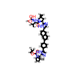 COC(O)N[C@H](C(=O)N1CC2(CC2)C[C@H]1c1ncc(-c2ccc3cc(-c4ccc(-c5cnc([C@@H]6[C@H]7CCC(C7)N6C(=O)OC(C)(C)C)[nH]5)cc4)ccc3c2)[nH]1)C(C)C